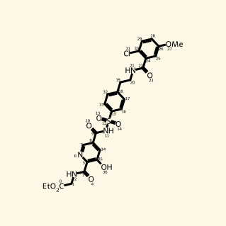 CCOC(=O)CNC(=O)c1ncc(C(=O)NS(=O)(=O)c2ccc(CCNC(=O)c3cc(OC)ccc3Cl)cc2)cc1O